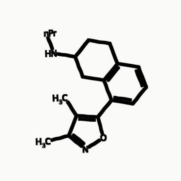 CCCNC1CCc2cccc(-c3onc(C)c3C)c2C1